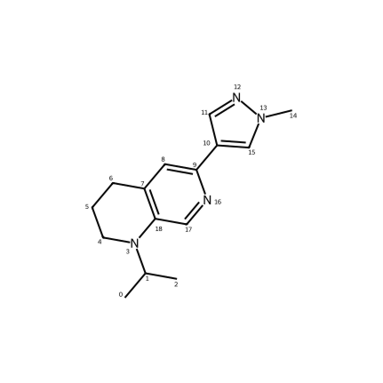 CC(C)N1CCCc2cc(-c3cnn(C)c3)ncc21